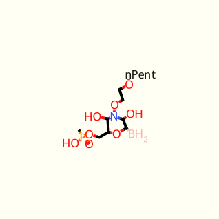 BC1OC(COP(C)(=O)O)C(O)N(OCCOCCCCC)C1O